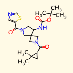 CC(C)(C)OC(=O)NC1CN(C(=O)c2cncs2)CC12CN(C(=O)[C@H]1CC1(C)C)C2